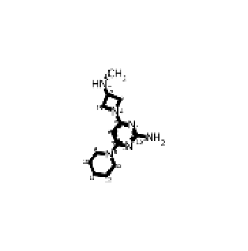 CNC1CN(c2cc(N3CCCCC3)nc(N)n2)C1